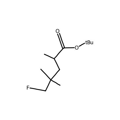 CC(CC(C)(C)CF)C(=O)OC(C)(C)C